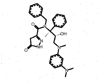 CN(C)c1cccc(N(C)C[C@@H](O)[C@](C)(c2ccccc2)N(Cc2ccccc2)C(=O)C2=NNC(=O)C2)c1